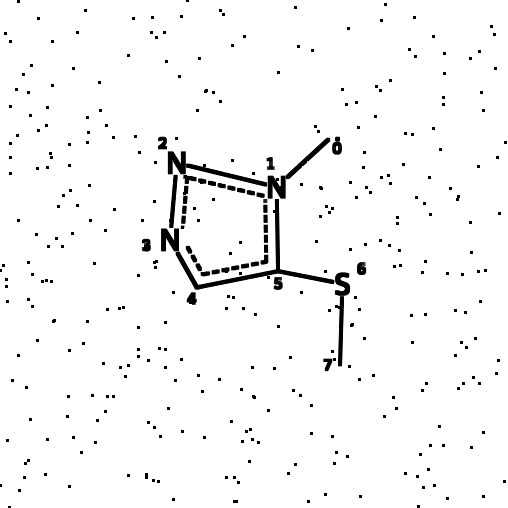 [CH2]n1nncc1SC